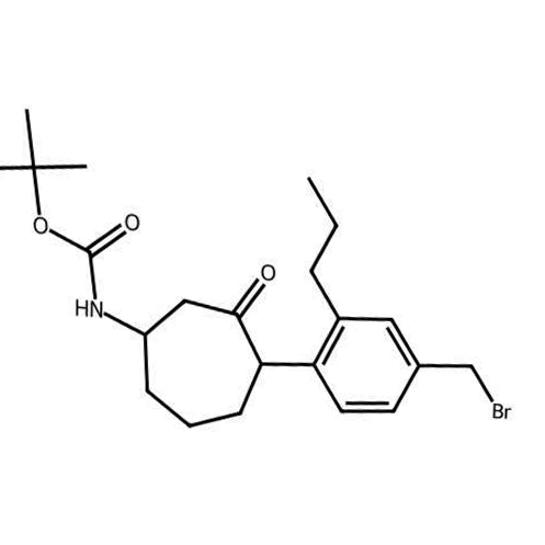 CCCc1cc(CBr)ccc1C1CCCC(NC(=O)OC(C)(C)C)CC1=O